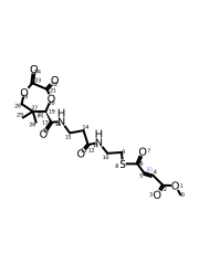 COC(=O)/C=C/C(=O)SCCNC(=O)CCNC(=O)[C@@H]1OC(=O)C(=O)OCC1(C)C